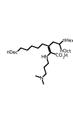 CCCCCCCCCCCCCCCC(CC(CCCCCC)CCCCCCCC)=C(NCCCN(C)C)C(=O)O